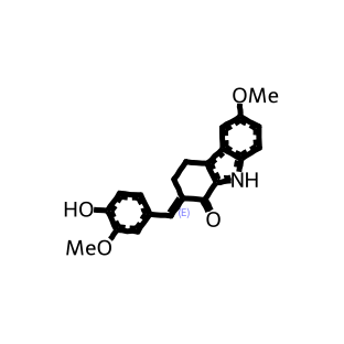 COc1ccc2[nH]c3c(c2c1)CC/C(=C\c1ccc(O)c(OC)c1)C3=O